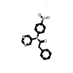 O=C(Cc1ccccc1)N(c1ccc([N+](=O)[O-])cc1)c1cncnc1